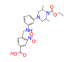 CCOC(=O)N1C(C)CN(c2cccc(NCc3ccc(C(=O)O)cc3[N+](=O)[O-])c2)CC1C